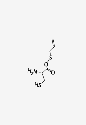 C=CCSOC(=O)[C@@H](N)CS